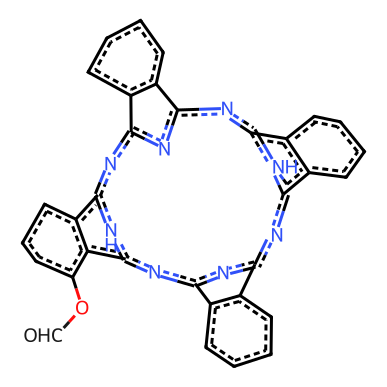 O=COc1cccc2c3nc4nc(nc5[nH]c(nc6nc(nc([nH]3)c12)-c1ccccc1-6)c1ccccc51)-c1ccccc1-4